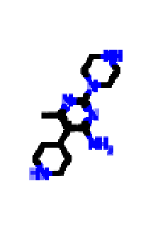 Cc1nc(N2CCNCC2)nc(N)c1C1CCNCC1